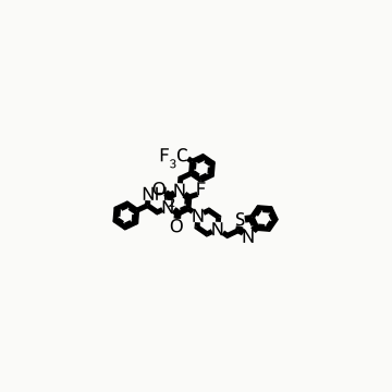 Cc1c(N2CCN(Cc3nc4ccccc4s3)CC2)c(=O)n(CC(N)c2ccccc2)c(=O)n1Cc1c(F)cccc1C(F)(F)F